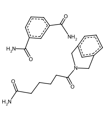 NC(=O)CCCCC(=O)N1Cc2cccc(c2)C1.NC(=O)c1cccc(C(N)=O)c1